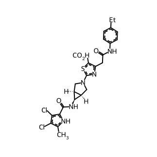 CCc1ccc(NC(=O)Cc2nc(N3C[C@@H]4[C@H](C3)[C@@H]4NC(=O)c3[nH]c(C)c(Cl)c3Cl)sc2C(=O)O)cc1